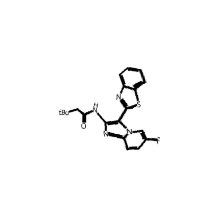 CC(C)(C)CC(=O)Nc1nc2ccc(F)cn2c1-c1nc2ccccc2s1